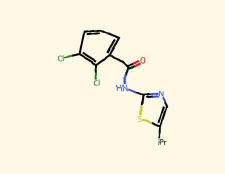 CC(C)c1cnc(NC(=O)c2cccc(Cl)c2Cl)s1